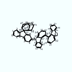 c1ccc2c(c1)-c1ccc(-n3c4ccccc4c4c(-c5cccc6oc7ccccc7c56)cccc43)cc1C21C2CC3CC(C2)CC1C3